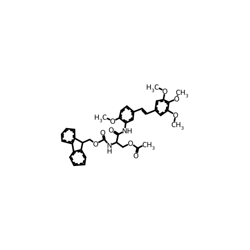 COc1ccc(C=Cc2cc(OC)c(OC)c(OC)c2)cc1NC(=O)C(COC(C)=O)NC(=O)OCC1c2ccccc2-c2ccccc21